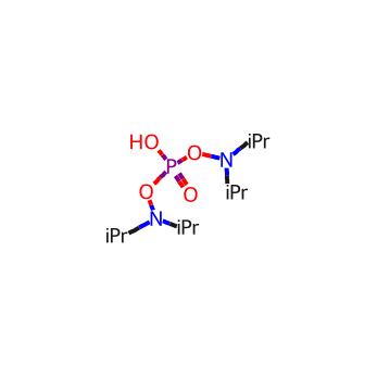 CC(C)N(OP(=O)(O)ON(C(C)C)C(C)C)C(C)C